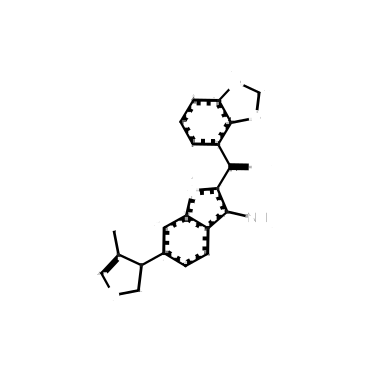 CC1=CSCC1c1ccc2c(N)c(C(=O)c3cccc4c3OCO4)oc2c1